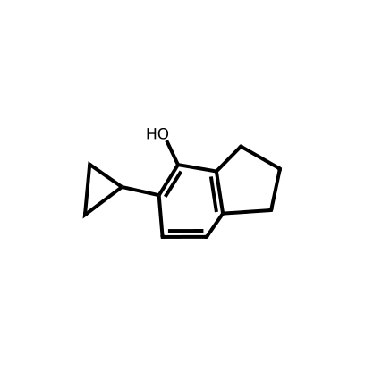 Oc1c(C2CC2)ccc2c1CCC2